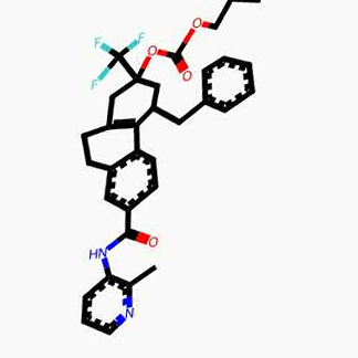 Cc1ncccc1NC(=O)c1ccc2c(c1)CCC1=C2C(Cc2ccccc2)CC(OC(=O)OCC(C)C)(C(F)(F)F)C1